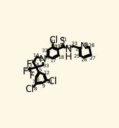 FC(F)(F)C1(c2cc(Cl)cc(Cl)c2)CCN(c2ccc(C(=S)NCc3ccccn3)c(Cl)c2)C1